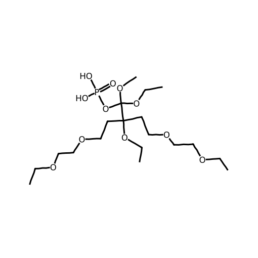 CCOCCOCCC(CCOCCOCC)(OCC)C(OC)(OCC)OP(=O)(O)O